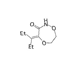 CCC(CC)=C1OCCONC1=O